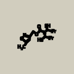 Cc1cc(COC(=O)N(C(S)C(C)C)C(S)C(C)C)no1